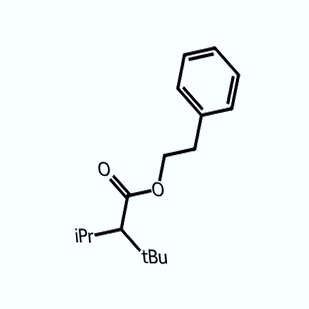 CC(C)C(C(=O)OCCc1ccccc1)C(C)(C)C